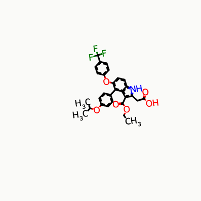 CCOC(=O)c1c(CC(=O)O)[nH]c2ccc(Oc3ccc(C(F)(F)F)cc3)c(-c3ccc(OC(C)C)cc3)c12